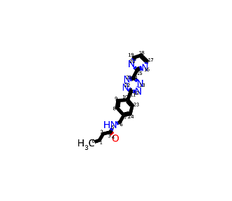 CCCC(=O)NCc1ccc(-c2nnc(-c3ncccn3)nn2)cc1